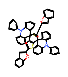 c1ccc(N2c3ccccc3C3(c4ccccc42)c2cc(-c4cc5ccccc5o4)sc2C2(c4ccccc4N(c4ccccc4)c4ccccc42)c2cc(-c4cc5ccccc5o4)sc23)cc1